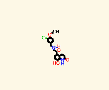 C#COc1ccc(CNC[C@H](O)c2ccc(O)c3[nH]c(=O)ccc23)cc1Cl